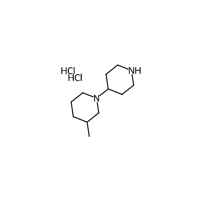 CC1CCCN(C2CCNCC2)C1.Cl.Cl